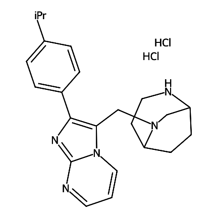 CC(C)c1ccc(-c2nc3ncccn3c2CN2CC3CCC2CCN3)cc1.Cl.Cl